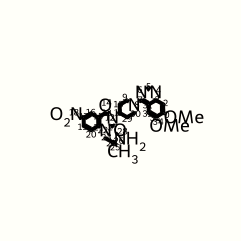 COc1cc2ncnc(N3CCC(n4c(=O)c5cc([N+](=O)[O-])ccc5n(CC(C)N)c4=O)CC3)c2cc1OC